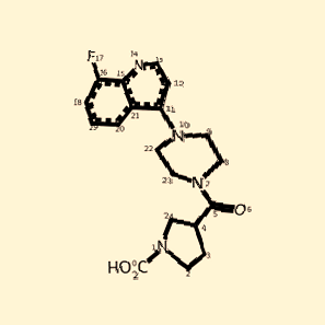 O=C(O)N1CCC(C(=O)N2CCN(c3ccnc4c(F)cccc34)CC2)C1